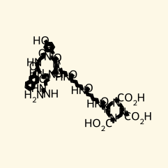 CN1C(=O)[C@@H](Cc2ccc(O)cc2)NC(=O)CNC(=O)[C@H](Cc2ccc3ccccc3c2)NC(=O)[C@H](CCCNC(=N)N)NC(=O)[C@H]1CCCNC(=O)CCCCNC(=O)CCCCNC(=O)CN1CCN(CC(=O)O)CCN(CC(=O)O)CCN(CC(=O)O)CC1